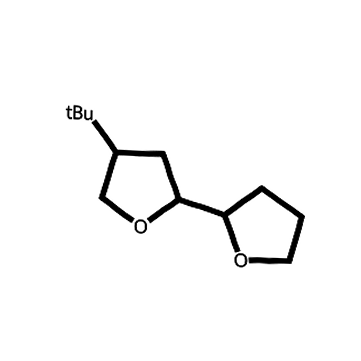 CC(C)(C)C1COC(C2CCCO2)C1